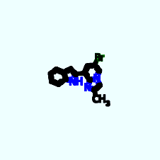 Cc1cn2cc(Br)cc(-c3cc4ccccc4[nH]3)c2n1